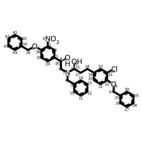 O=[N+]([O-])c1cc([C@@H](O)CN(Cc2ccccc2)[C@@H](O)CCc2ccc(OCc3ccccc3)c(Cl)c2)ccc1OCc1ccccc1